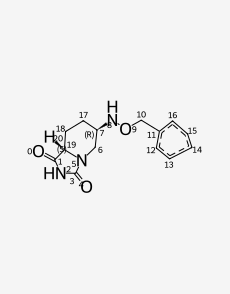 O=C1NC(=O)N2C[C@H](NOCc3ccccc3)CC[C@@H]12